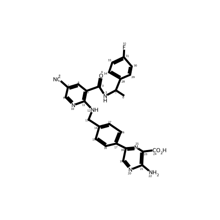 CC(NC(=O)c1cc(C#N)cnc1NCc1ccc(-c2cnc(N)c(C(=O)O)n2)cc1)c1ccc(F)cc1